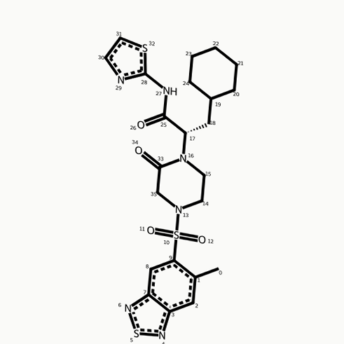 Cc1cc2nsnc2cc1S(=O)(=O)N1CCN([C@@H](CC2CCCCC2)C(=O)Nc2nccs2)C(=O)C1